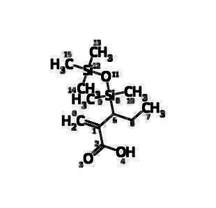 C=C(C(=O)O)C(CC)[Si](C)(C)O[Si](C)(C)C